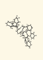 c1ccc(-c2cccc(-c3cccc(-n4c5ccccc5c5ccccc54)c3)c2-c2ccc3oc4ccccc4c3c2)cc1